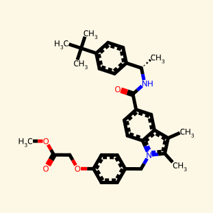 COC(=O)COc1ccc(Cn2c(C)c(C)c3cc(C(=O)N[C@@H](C)c4ccc(C(C)(C)C)cc4)ccc32)cc1